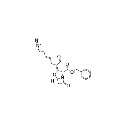 [N-]=[N+]=NCC=CCC(C=O)=C1O[C@@H]2CC(=O)N2C1C(=O)OCc1ccccc1